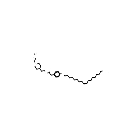 CCCCCCCC/C=C\CCCCCCCCOc1ccc(CC(=O)OCCC2CCN(CCSS)CC2)cc1